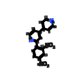 O=[N+]([O-])c1ccc(-c2cc(-c3ccncc3)ccn2)c([N+](=O)[O-])c1